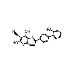 N#Cc1c(O)nc2ccc(-c3ccc(-c4ccccc4O)cc3)nc2c1O